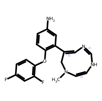 CN1/C=C\N/C=N\C=C(/c2cc(N)ccc2Oc2ccc(F)cc2F)C1